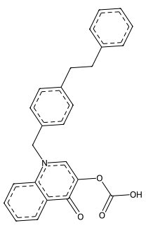 O=C(O)Oc1cn(Cc2ccc(CCc3ccccc3)cc2)c2ccccc2c1=O